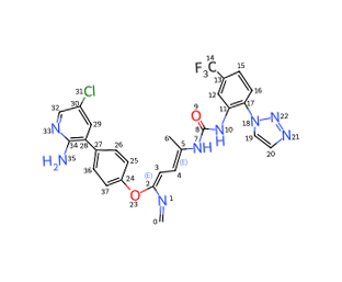 C=N/C(=C\C=C(/C)NC(=O)Nc1cc(C(F)(F)F)ccc1-n1ccnn1)Oc1ccc(-c2cc(Cl)cnc2N)cc1